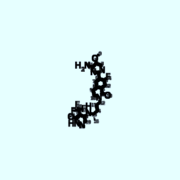 COc1cnc(-c2cc3ccn(C/C=C/[C@H](C)Nc4cn[nH]c(=O)c4C(F)(F)F)c(=O)c3cc2F)nc1N